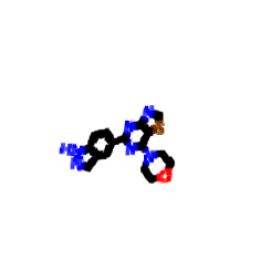 c1nc2nc(-c3ccc4[nH]ncc4c3)nc(N3CCOCC3)c2s1